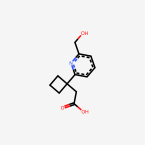 O=C(O)CC1(c2cccc(CO)n2)CCC1